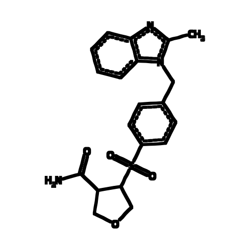 Cc1nc2ccccc2n1Cc1ccc(S(=O)(=O)C2COCC2C(N)=O)cc1